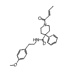 CC=CC(=O)N1CCC(C(=O)NCCc2ccc(OC)cc2)(c2ccccc2)CC1